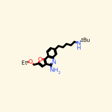 CCOCc1cc2c(N)nc3cc(CCCCCNC(C)(C)C)ccc3c2o1